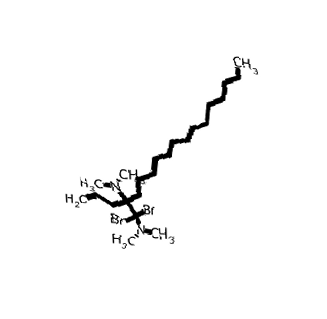 C=CCC(CCCCCCCCCCCCCC)(N(C)C)C(Br)(Br)N(C)C